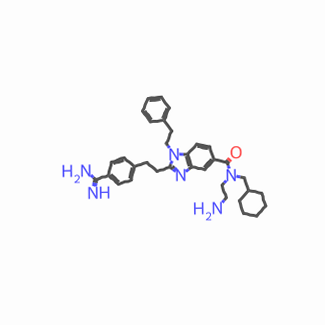 N=C(N)c1ccc(CCc2nc3cc(C(=O)N(CCN)CC4CCCCC4)ccc3n2CCc2ccccc2)cc1